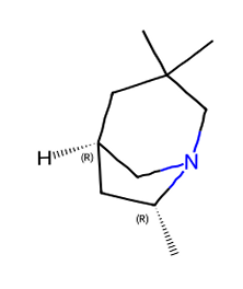 C[C@@H]1C[C@@H]2CN1CC(C)(C)C2